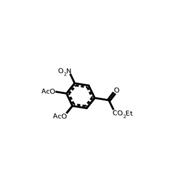 CCOC(=O)C(=O)c1cc(OC(C)=O)c(OC(C)=O)c([N+](=O)[O-])c1